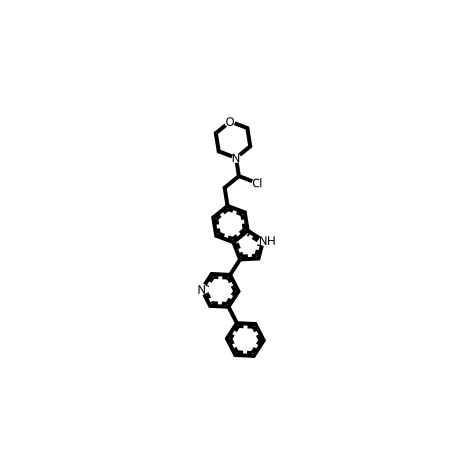 ClC(Cc1ccc2c(-c3cncc(-c4ccccc4)c3)c[nH]c2c1)N1CCOCC1